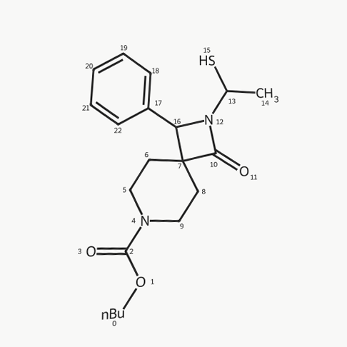 CCCCOC(=O)N1CCC2(CC1)C(=O)N(C(C)S)C2c1ccccc1